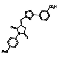 COc1ccc(N2C(=O)/C(=C/c3ccc(-c4cccc(C(=O)O)c4)o3)SC2=S)cc1